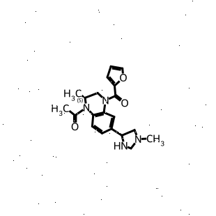 CC(=O)N1c2ccc(C3CN(C)CN3)cc2N(C(=O)c2ccco2)C[C@@H]1C